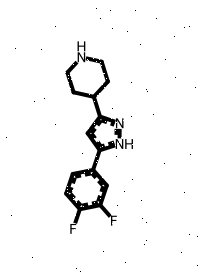 Fc1ccc(-c2cc(C3CCNCC3)n[nH]2)cc1F